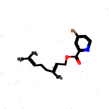 CC(C)=CCC/C(C)=C/COC(=O)c1cc(Br)ccn1